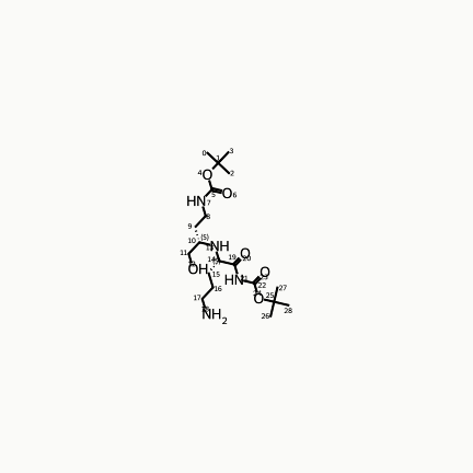 CC(C)(C)OC(=O)NCC[C@@H](CO)N[C@@H](CCCN)C(=O)NC(=O)OC(C)(C)C